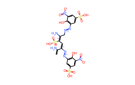 C=C(N)C(=C\C(=C(\N)C/N=N/c1cc(S(=O)(=O)O)cc([N+](=O)[O-])c1O)S(=O)(=O)O)/N=N/c1cc(S(=O)(=O)O)cc([N+](=O)[O-])c1O